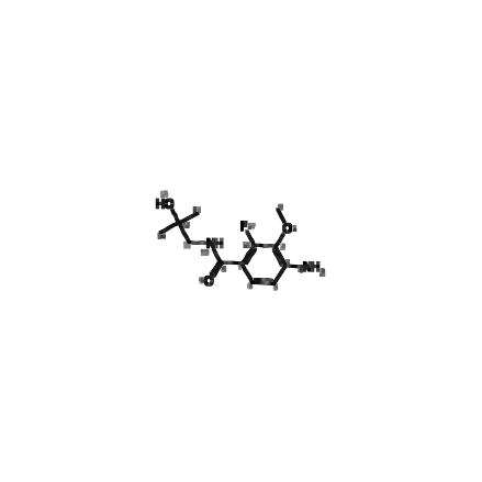 COc1c(N)ccc(C(=O)NCC(C)(C)O)c1F